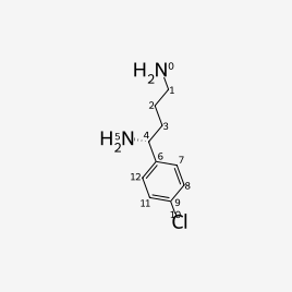 NCCC[C@@H](N)c1ccc(Cl)cc1